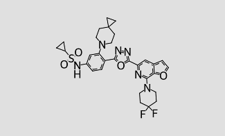 O=S(=O)(Nc1ccc(-c2nnc(-c3cc4ccoc4c(N4CCC(F)(F)CC4)n3)o2)c(N2CCC3(CC2)CC3)c1)C1CC1